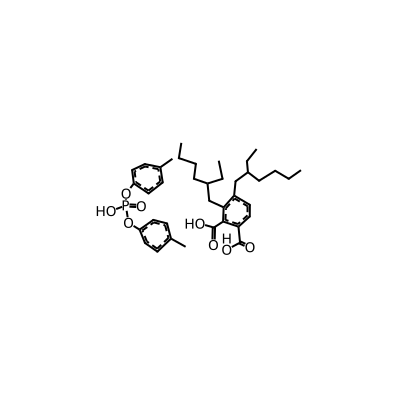 CCCCC(CC)Cc1ccc(C(=O)O)c(C(=O)O)c1CC(CC)CCCC.Cc1ccc(OP(=O)(O)Oc2ccc(C)cc2)cc1